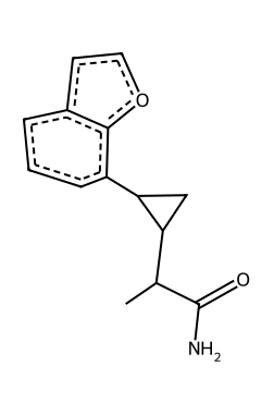 CC(C(N)=O)C1CC1c1cccc2ccoc12